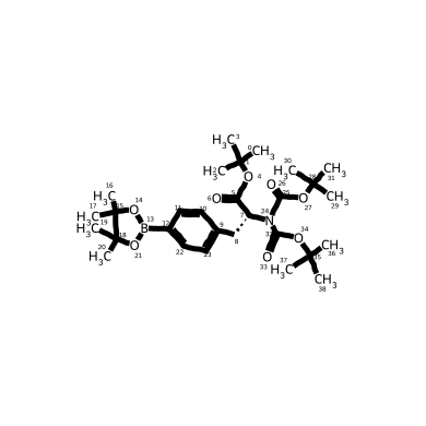 CC(C)(C)OC(=O)[C@@H](Cc1ccc(B2OC(C)(C)C(C)(C)O2)cc1)N(C(=O)OC(C)(C)C)C(=O)OC(C)(C)C